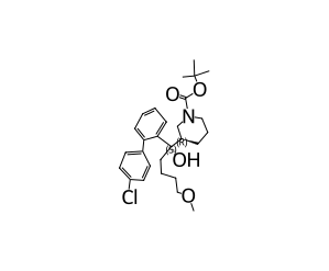 COCCCC[C@@](O)(c1ccccc1-c1ccc(Cl)cc1)[C@@H]1CCCN(C(=O)OC(C)(C)C)C1